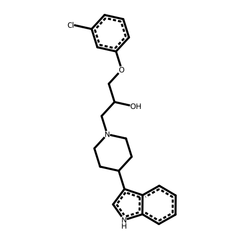 OC(COc1cccc(Cl)c1)CN1CCC(c2c[nH]c3ccccc23)CC1